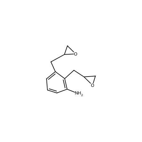 Nc1cccc(CC2CO2)c1CC1CO1